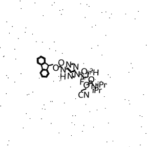 [2H]C[C@H]1O[C@@H](n2cnc3c(NC(=O)OCC4c5ccccc5-c5ccccc54)ncnc32)[C@@H](F)C1OP(OCCC#N)N(C(C)C)C(C)C